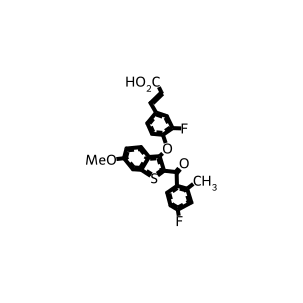 COc1ccc2c(Oc3ccc(/C=C/C(=O)O)cc3F)c(C(=O)c3ccc(F)cc3C)sc2c1